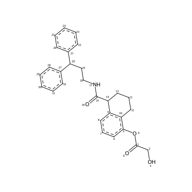 O=C(CO)Oc1cccc2c1CCCC2C(=O)NCCC(c1ccccc1)c1ccccc1